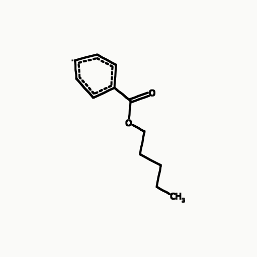 CCCCCOC(=O)c1cc[c]cc1